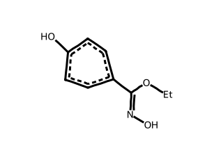 CCOC(=NO)c1ccc(O)cc1